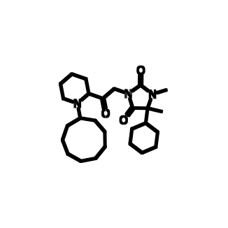 CN1C(=O)N(CC(=O)C2CCCCN2C2CCCCCCCC2)C(=O)C1(C)C1CCCCC1